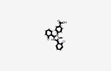 CN1/C(=C2/C=CC=CC2=O)N/C(=C2/C=CC=CC2=O)N1c1ccc(C(=O)O)cc1